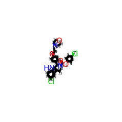 O=C(Oc1ccc(Cl)cc1)N1CCc2c([nH]c3ccc(Cl)cc23)C1c1ccc(OCCN2CCOCC2)cc1